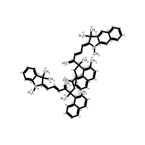 C=C(C=CC=C1N(C)c2cc3ccccc3cc2C1(C)C)C(C)(CCC(O)CC(C)(C(=C)C=CC=C1N(C)c2ccccc2C1(C)C)c1c(C)ccc2ccccc12)c1c(C)ccc2ccccc12